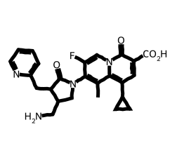 Cc1c(N2CC(CN)C(Cc3ccccn3)C2=O)c(F)cn2c(=O)c(C(=O)O)cc(C3CC3)c12